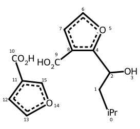 CC(C)CC(O)c1occc1C(=O)O.O=C(O)c1ccoc1